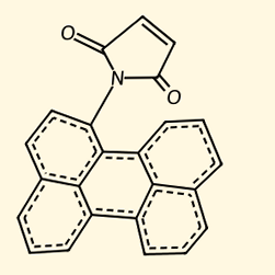 O=C1C=CC(=O)N1c1ccc2cccc3c4cccc5cccc(c1c23)c54